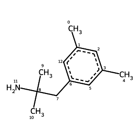 Cc1cc(C)cc(CC(C)(C)N)c1